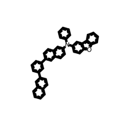 c1ccc(N(c2ccc3cc(-c4cccc(-c5ccc6ccccc6c5)c4)ccc3c2)c2ccc3oc4ccccc4c3c2)cc1